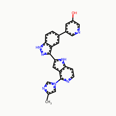 Cc1cn(-c2nccc3[nH]c(-c4n[nH]c5ccc(-c6cncc(O)c6)cc45)cc23)cn1